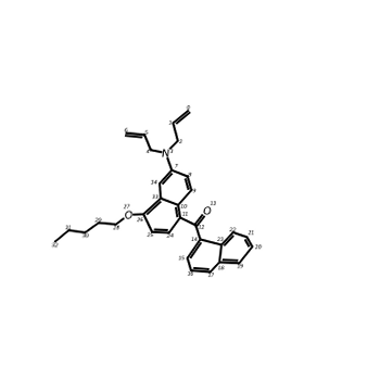 C=CCN(CC=C)c1ccc2c(C(=O)c3cccc4ccccc34)ccc(OCCCCC)c2c1